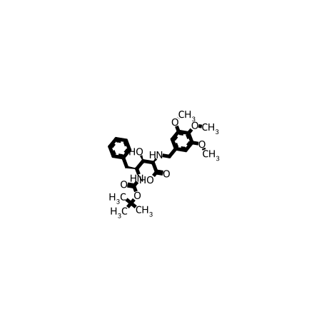 COc1cc(CN[C@@H](C(=O)O)[C@H](O)[C@H](Cc2ccccc2)NC(=O)OC(C)(C)C)cc(OC)c1OC